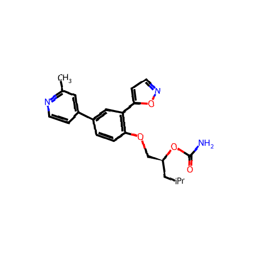 Cc1cc(-c2ccc(OC[C@H](CC(C)C)OC(N)=O)c(-c3ccno3)c2)ccn1